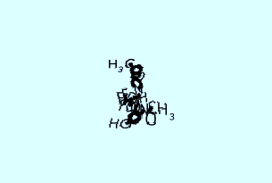 CC(=O)Nc1ccc(O)cc1OC[C@H](CN1CCC2(CC1)Cc1cc(C)ccc1O2)OC(=O)C(F)(F)F